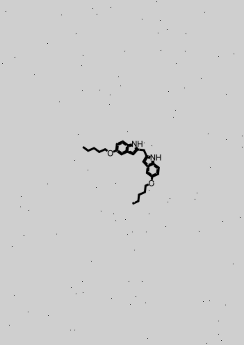 CCCCCOc1ccc2[nH]c(Cc3cc4cc(OCCCCC)ccc4[nH]3)cc2c1